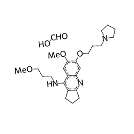 COCCCNc1c2c(nc3cc(OCCCN4CCCC4)c(OC)cc13)CCC2.O=CO